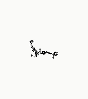 Nc1cc(N2CCN(CCOCCO)CC2)nc(NCc2ccc(CNCCCNC3CCOCC3)cc2)n1